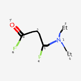 CCN(CC)C(F)CC(=O)F